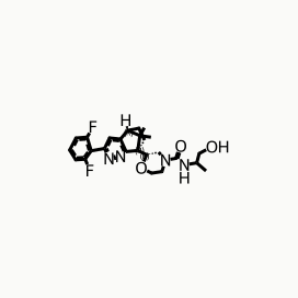 CC(CO)NC(=O)N1CCO[C@H]([C@@]23CC[C@@H](c4cc(-c5c(F)cccc5F)nnc42)C3(C)C)C1